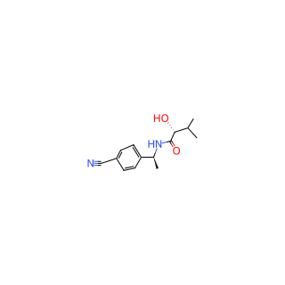 CC(C)[C@@H](O)C(=O)N[C@@H](C)c1ccc(C#N)cc1